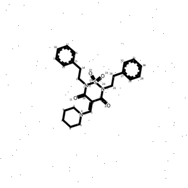 O=C1C(=CN2CCCCC2)C(=O)N(CCc2ccccc2)S(=O)(=O)N1CCc1ccccc1